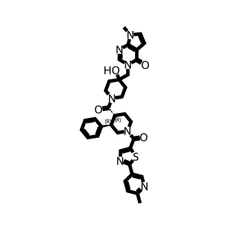 Cc1ccc(-c2ncc(C(=O)N3CC[C@@H](C(=O)N4CCC(O)(Cn5cnc6c(ccn6C)c5=O)CC4)[C@H](c4ccccc4)C3)s2)cn1